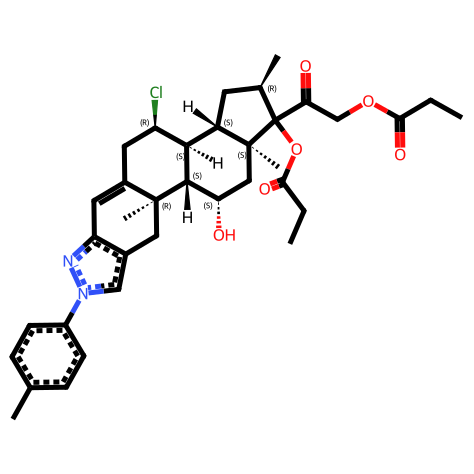 CCC(=O)OCC(=O)C1(OC(=O)CC)[C@H](C)C[C@H]2[C@H]3[C@H]([C@@H](O)C[C@@]21C)[C@@]1(C)Cc2cn(-c4ccc(C)cc4)nc2C=C1C[C@H]3Cl